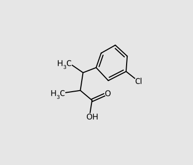 CC(C(=O)O)C(C)c1cccc(Cl)c1